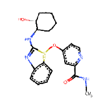 CNC(=O)c1cc(O[SH]2C(N[C@@H]3CCCC[C@H]3O)=Nc3ccccc32)ccn1